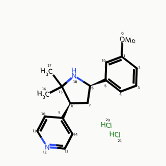 COc1cccc([C@H]2C[C@@H](c3ccncc3)C(C)(C)N2)c1.Cl.Cl